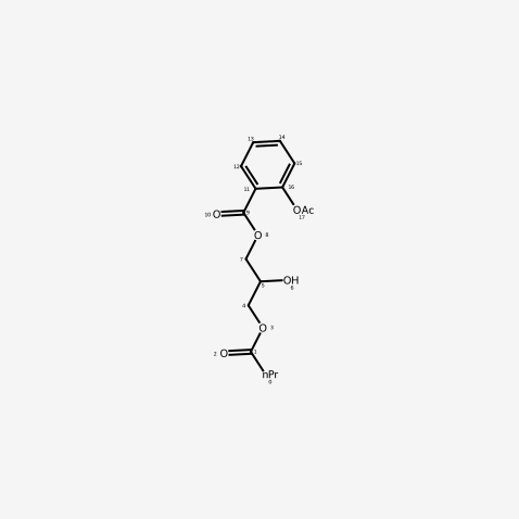 CCCC(=O)OCC(O)COC(=O)c1ccccc1OC(C)=O